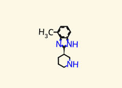 Cc1cccc2[nH]c([C@@H]3CCCNC3)nc12